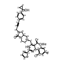 COC(=O)C1=C(CN2CCN3C(=O)N(CC#Cc4ccc(C5(O)CC5)cc4)CC3C2)NC(c2nccs2)=NC1c1ccc(F)cc1Cl